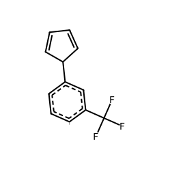 FC(F)(F)c1[c]ccc(C2C=CC=C2)c1